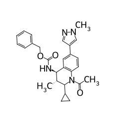 CC(=O)N1c2ccc(-c3cnn(C)c3)cc2[C@H](NC(=O)OCc2ccccc2)[C@@H](C)C1C1CC1